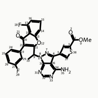 COC(=O)c1cc(-c2nn(C(C)c3oc4cccc(F)c4c(=O)c3-c3cccc(F)c3)c3ncnc(N)c23)cs1